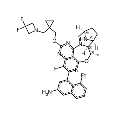 CCc1cccc2cc(N)cc(-c3nc4c5c(nc(OCC6(CN7CC(F)(F)C7)CC6)nc5c3F)N3C[C@H]5CC[C@H](N5)[C@H]3[C@H](C)O4)c12